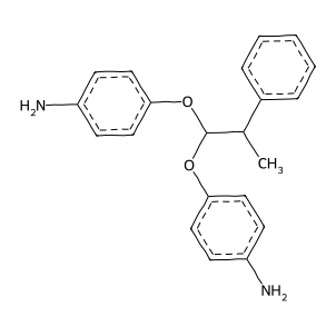 CC(c1ccccc1)C(Oc1ccc(N)cc1)Oc1ccc(N)cc1